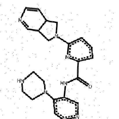 O=C(Nc1cnccc1N1CCNCC1)c1cccc(N2CC3C=CN=CC3C2)n1